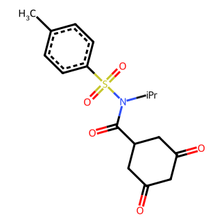 Cc1ccc(S(=O)(=O)N(C(=O)C2CC(=O)CC(=O)C2)C(C)C)cc1